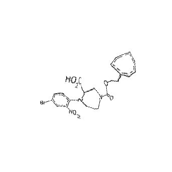 O=C(O)C1CN(C(=O)OCc2ccccc2)CCN1c1ccc(Br)cc1[N+](=O)[O-]